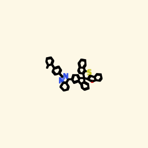 CC1CC=CC=C1c1ccc(-c2nc3c(c(-c4ccc5c(c4)-c4ccccc4C54C5=C(Sc6c4ccc4ccccc64)C4C=CC=CC4C=C5)n2)C=CCC3)cc1